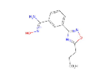 N/C(=N\O)c1cccc(-c2noc(CCC(=O)O)n2)c1